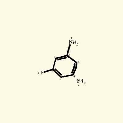 B.Nc1cccc(F)c1